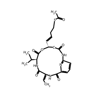 C/C=C1\NC(=O)c2cccc(n2)NC(=O)C[C@@H](/C=C/CCSC(C)=O)OC(=O)[C@H](C(C)C)NC1=O